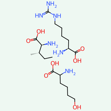 CC[C@H](C)[C@H](N)C(=O)O.N=C(N)NCCCC[C@H](N)C(=O)O.NC(CCCCO)C(=O)O